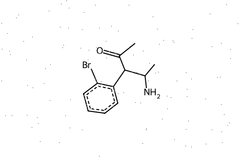 CC(=O)C(c1ccccc1Br)C(C)N